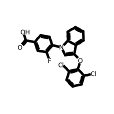 O=C(O)c1ccc(-n2cc(Oc3c(Cl)cccc3Cl)c3ccccc32)c(F)c1